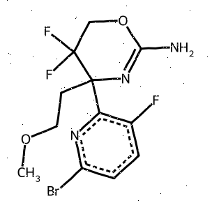 COCCC1(c2nc(Br)ccc2F)N=C(N)OCC1(F)F